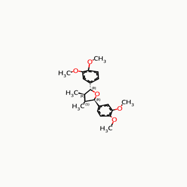 COc1ccc([C@@H]2O[C@@H](c3ccc(OC)c(OC)c3)[C@@H](C)[C@H]2C)cc1OC